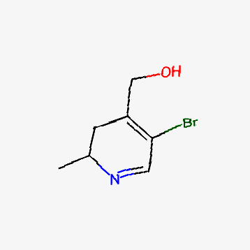 CC1CC(CO)=C(Br)C=N1